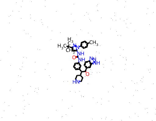 Cc1ccc(-n2nc(C(C)(C)C)cc2NC(=O)Nc2cccc(C(C(=O)c3ccc4nn[nH]c4c3)C3CCNCC3)c2)cc1